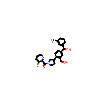 Cc1cccc(C(O)c2ccc(C3CCN(C(=O)c4ncccc4Cl)C3)c(CO)c2)c1